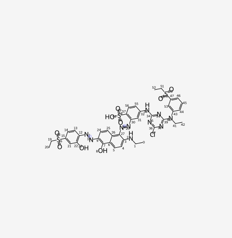 CCNc1ccc2c(O)c(/N=N/c3ccc(S(=O)(=O)CC)cc3O)ccc2c1/N=N/c1cc(Nc2nc(Cl)nc(N(CC)c3cccc(S(=O)(=O)CC)c3)n2)ccc1S(=O)(=O)O